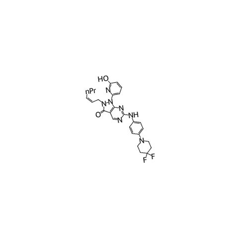 CCC/C=C\Cn1c(=O)c2cnc(Nc3ccc(N4CCC(F)(F)CC4)cc3)nc2n1-c1cccc(O)n1